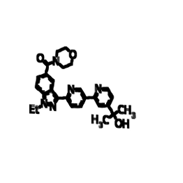 CCn1nc(-c2ccc(-c3cc(C(C)(C)O)ccn3)cn2)c2cc(C(=O)N3CCOCC3)ccc21